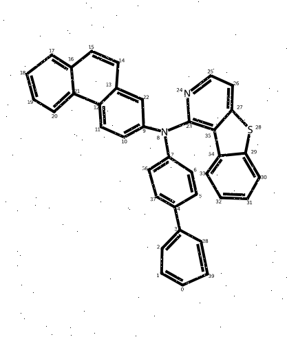 c1ccc(-c2ccc(N(c3ccc4c(ccc5ccccc54)c3)c3nccc4sc5ccccc5c34)cc2)cc1